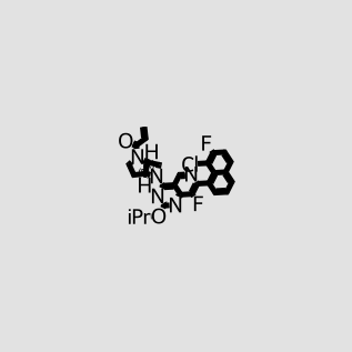 C=CC(=O)N1CC[C@@H]2[C@H]1CN2c1nc(OC(C)C)nc2c(F)c(-c3cccc4ccc(F)c(Cl)c34)ncc12